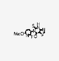 COc1ccc(-n2c(=S)[nH]c3ncsc3c2=O)c(F)n1